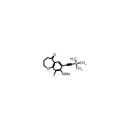 CNc1c(C#C[Si](C)(C)C)cc2c(c1I)OCCCC2=O